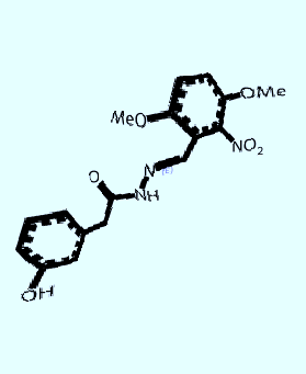 COc1ccc(OC)c([N+](=O)[O-])c1/C=N/NC(=O)Cc1cccc(O)c1